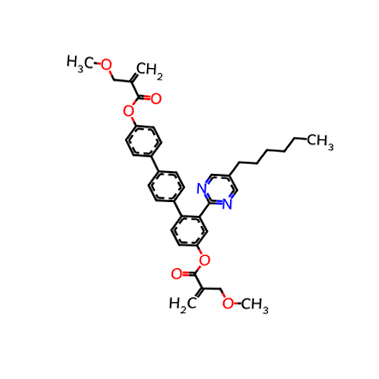 C=C(COC)C(=O)Oc1ccc(-c2ccc(-c3ccc(OC(=O)C(=C)COC)cc3-c3ncc(CCCCCC)cn3)cc2)cc1